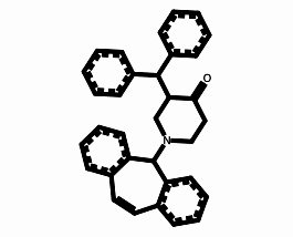 O=C1CCN(C2c3ccccc3C=Cc3ccccc32)CC1C(c1ccccc1)c1ccccc1